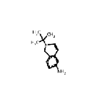 CC(C)(C)N1C=Cc2cc(N)ccc2C1